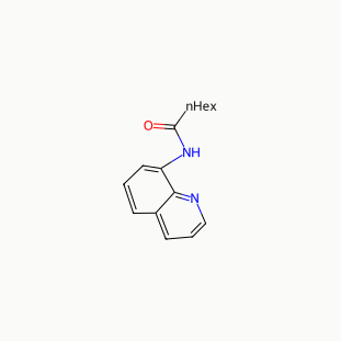 CCCCCCC(=O)Nc1cccc2cccnc12